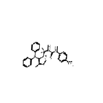 CC1CC[C@@H]([C@@H](C)NC(=S)Nc2ccc(C(F)(F)F)cc2)C1P(c1ccccc1)c1ccccc1